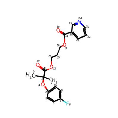 CC(C)(Oc1ccc(F)cc1)C(=O)OCCCOC(=O)c1cccnc1